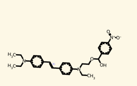 CCN(CC)c1ccc(/C=C/c2ccc(N(CC)CCOC(O)c3ccc([N+](=O)[O-])cc3)cc2)cc1